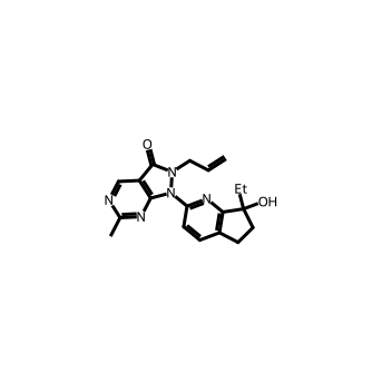 C=CCn1c(=O)c2cnc(C)nc2n1-c1ccc2c(n1)C(O)(CC)CC2